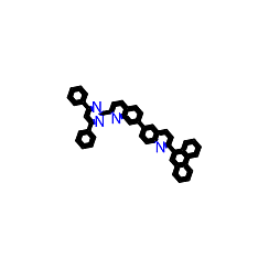 c1ccc(-c2cc(-c3ccccc3)nc(-c3ccc4ccc(-c5ccc6nc(-c7cc8ccccc8c8ccccc78)ccc6c5)cc4n3)n2)cc1